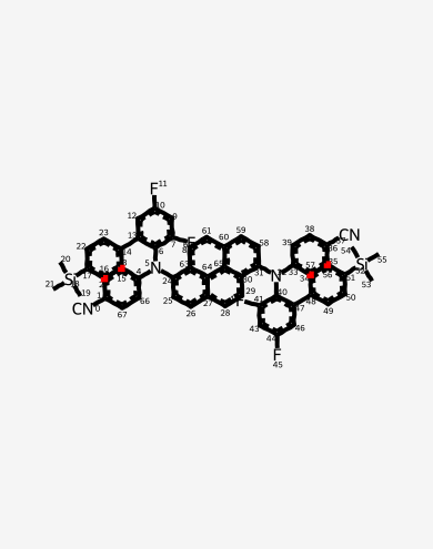 [C-]#[N+]c1ccc(N(c2c(F)cc(F)cc2-c2ccc([Si](C)(C)C)cc2)c2ccc3ccc4c(N(c5ccc(C#N)cc5)c5c(F)cc(F)cc5-c5ccc([Si](C)(C)C)cc5)ccc5ccc2c3c54)cc1